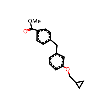 COC(=O)c1ccc(Cc2cccc(OCC3CC3)c2)cc1